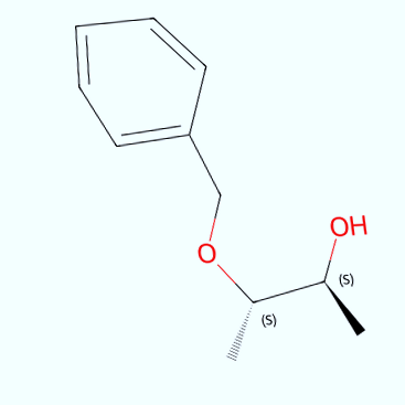 C[C@H](O)[C@H](C)OCc1ccccc1